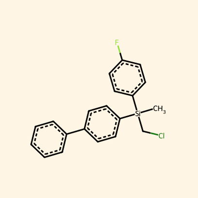 C[Si](CCl)(c1ccc(F)cc1)c1ccc(-c2ccccc2)cc1